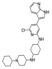 Clc1cc(-c2c[nH]c3ncccc23)cc(NC2CCC(NC3CCN(C4CCCCC4)CC3)CC2)n1